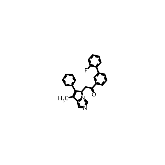 CC1=C(c2ccccc2)C(CC(=O)c2cccc(-c3ccccc3F)c2)n2cncc21